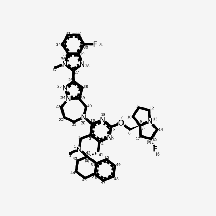 CN1Cc2c(nc(OC[C@@]34CCCN3C[C@H](F)C4)nc2N2CCCn3nc(-c4nc5c(F)cccc5n4C)cc3C2)C[C@]12CCCc1ccccc12